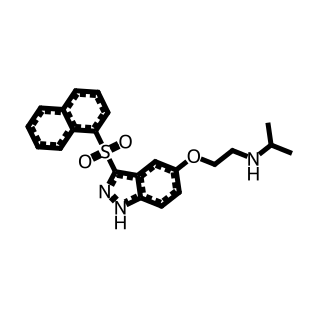 CC(C)NCCOc1ccc2[nH]nc(S(=O)(=O)c3cccc4ccccc34)c2c1